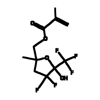 C=C(C)C(=O)OCC1(C)CC(F)(F)C(O)(C(F)(F)F)O1